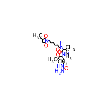 CCC1CC(=O)N(CCCCCC(=O)N[C@H](C(=O)N[C@@H](CCCNC(N)=O)C(=O)C(C)C)C(C)C)C1=O